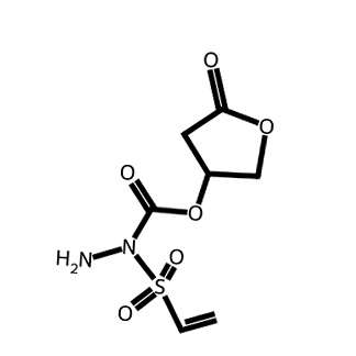 C=CS(=O)(=O)N(N)C(=O)OC1COC(=O)C1